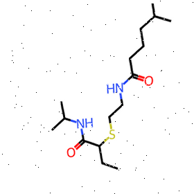 CCC(SCCNC(=O)CCCC(C)C)C(=O)NC(C)C